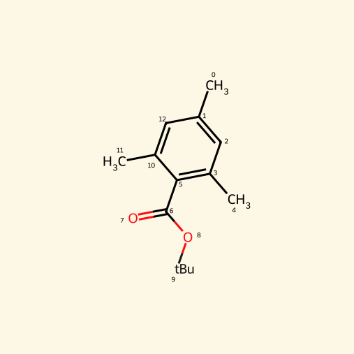 Cc1cc(C)c(C(=O)OC(C)(C)C)c(C)c1